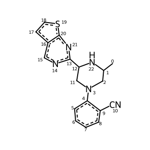 CC1CN(c2ccccc2C#N)CC(c2ncc3ccsc3n2)N1